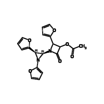 CC(=O)OC1C(=O)N([C@@H]2[C@H](c3ccco3)N2c2ccco2)C1c1ccco1